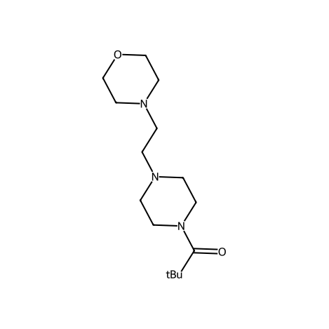 CC(C)(C)C(=O)N1CCN(CCN2CCOCC2)CC1